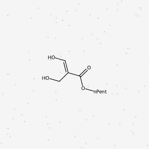 CCCCCOC(=O)C(=CO)CO